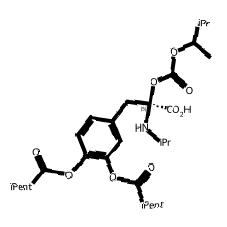 CCCC(C)C(=O)Oc1ccc(C[C@](NC(C)C)(OC(=O)OC(C)C(C)C)C(=O)O)cc1OC(=O)C(C)CCC